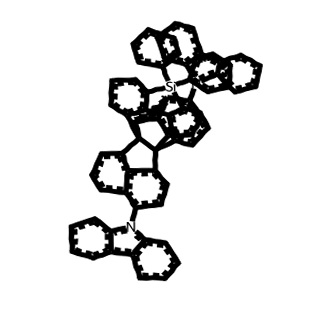 c1ccc([Si]2(c3ccccc3)c3cccc4c3-c3c(cccc32)C23c5ccc(-n6c7ccccc7c7ccccc76)c6cccc(c56)C42c2cccc4c(-n5c6ccccc6c6ccccc65)ccc3c24)cc1